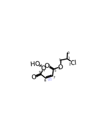 CC(Cl)COC(=O)/C=C\C(=O)OO